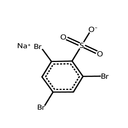 O=S(=O)([O-])c1c(Br)cc(Br)cc1Br.[Na+]